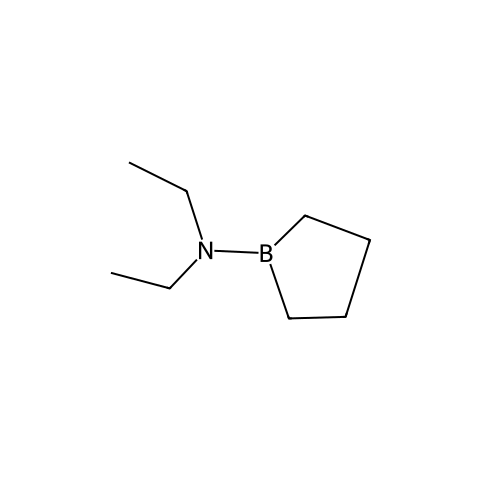 CCN(CC)B1CCCC1